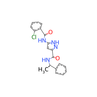 C[C@@H](NC(=O)c1cc(NC(=O)c2ccccc2Cl)[nH]n1)c1ccccc1